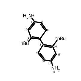 CCCCc1cc(N)ccc1-c1ccc(N)cc1CCCC